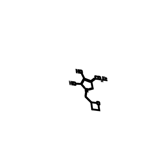 CCOC(=O)C1=C(O)C(O)N(CC2CCO2)C1